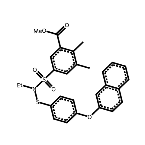 CCN(Sc1ccc(Oc2ccc3ccccc3c2)cc1)S(=O)(=O)c1cc(C)c(C)c(C(=O)OC)c1